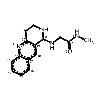 CNC(=O)CNC1NCCc2nc3ccccc3cc21